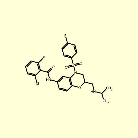 CC(C)NCC1CN(S(=O)(=O)c2ccc(F)cc2)c2cc(NC(=O)c3c(F)cccc3Cl)ccc2O1